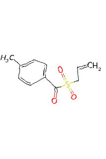 C=CCS(=O)(=O)C(=O)c1ccc(C)cc1